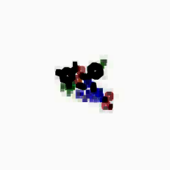 COC(=O)N/N=C(\N)CN1CCO[C@H](O[C@H](C)c2cc(C)cc(C(F)(F)F)c2)C1c1ccc(F)cc1